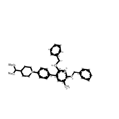 COC(OC)C1CCN(c2ccc(-c3cc(C)c(OCc4ccccc4)nc3OCc3ccccc3)cc2)CC1